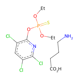 CCOP(=S)(OCC)Oc1nc(Cl)c(Cl)cc1Cl.NCCCC(=O)O